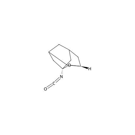 O=C=N[C@]12CC3CC(C[C@H](C3)O1)C2